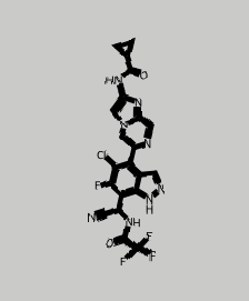 N#CC(NC(=O)C(F)(F)F)c1c(F)c(Cl)c(-c2cn3cc(NC(=O)C4CC4)nc3cn2)c2cn[nH]c12